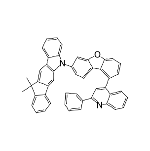 CC1(C)c2ccccc2-c2cc3c(cc21)c1ccccc1n3-c1ccc2c(c1)oc1cccc(-c3cc(-c4ccccc4)nc4ccccc34)c12